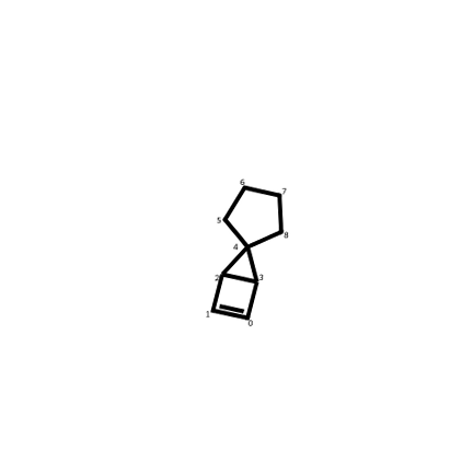 C1=CC2C1C21CCCC1